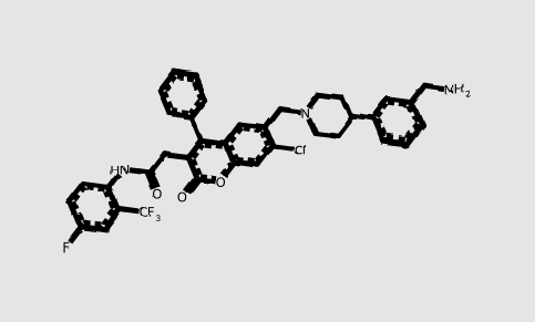 NCc1cccc(C2CCN(Cc3cc4c(-c5ccccc5)c(CC(=O)Nc5ccc(F)cc5C(F)(F)F)c(=O)oc4cc3Cl)CC2)c1